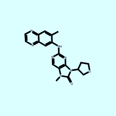 Cc1cc2nccnc2cc1Nc1ncc2c(n1)n(C1CCOC1)c(=O)n2C